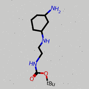 CC(C)(C)OC(=O)NCCNC1CCCC(N)C1